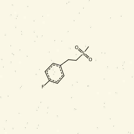 CS(=O)(=O)CCc1ccc(F)cc1